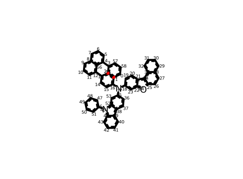 c1ccc(-c2cccc3cccc(-c4ccc(N(c5ccc6c(c5)oc5ccc7ccccc7c56)c5ccc6c7ccccc7n(-c7ccccc7)c6c5)cc4)c23)cc1